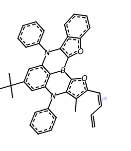 C=C/C=C\c1oc2c(c1C)N(c1ccccc1)c1cc(C(C)(C)C)cc3c1B2c1oc2ccccc2c1N3c1ccccc1